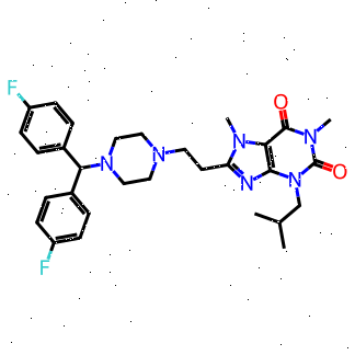 CC(C)Cn1c(=O)n(C)c(=O)c2c1nc(CCN1CCN(C(c3ccc(F)cc3)c3ccc(F)cc3)CC1)n2C